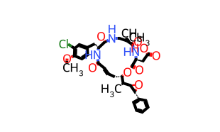 COc1ccc(C[C@H]2NC(=O)/C=C/C[C@@H]([C@H](C)[C@H]3O[C@@H]3c3ccccc3)OC(=O)[C@H](CC(=O)O)NC(=O)C(C)(C)CNC2=O)cc1Cl